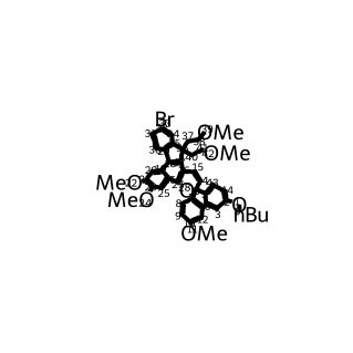 CCCCOc1ccc(C2(c3ccc(OC)cc3)C=Cc3c4c(c5cc(OC)c(OC)cc5c3O2)-c2ccc(Br)cc2C4(CCOC)CCOC)cc1